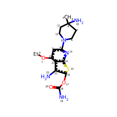 CCOc1cc(N2CCC(C)(N)CC2)nc2sc(OC(N)=O)c(N)c12